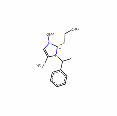 CON1C=C(C(=O)O)N(C(C)c2ccccc2)[C@H]1CCC=O